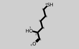 O=CC(O)CCCCS